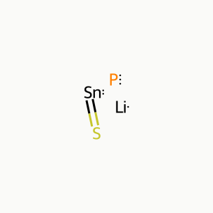 [Li].[P].[S]=[Sn]